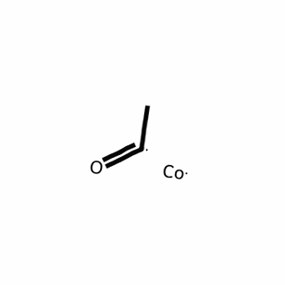 C[C]=O.[Co]